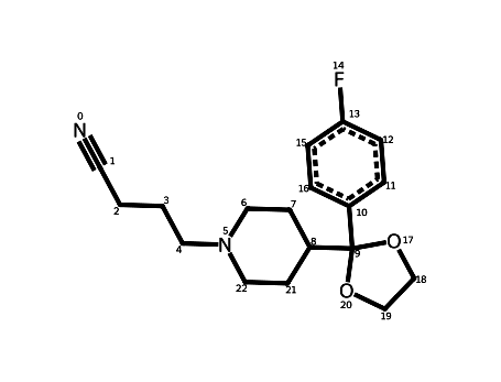 N#CCCCN1CCC(C2(c3ccc(F)cc3)OCCO2)CC1